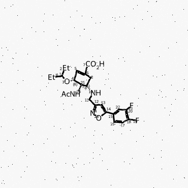 CCC(CC)O[C@@H]1C=C(C(=O)O)C[C@H](NCc2cc(-c3ccc(F)c(F)c3)on2)[C@H]1NC(C)=O